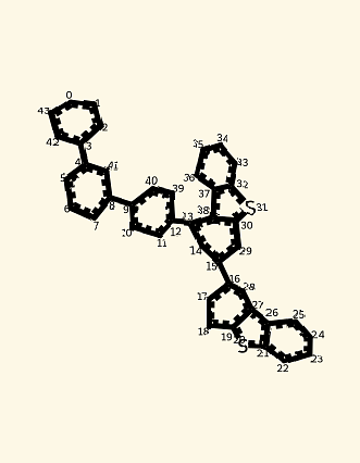 c1ccc(-c2cccc(-c3ccc(-c4cc(-c5ccc6sc7ccccc7c6c5)cc5sc6ccccc6c45)cc3)c2)cc1